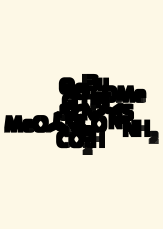 CCC(C)OC(=O)OC(C)C12SCC(COC)=C(C(=O)O)N1C(=O)C2NC(=O)C(=NOC)c1csc(N)n1